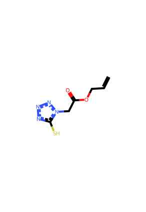 C=CCOC(=O)Cn1nnnc1S